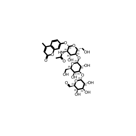 CC(=O)N[C@H]1[C@H](Oc2ccc3c(C)cc(=O)oc3c2)O[C@H](CO)[C@@H](O[C@@H]2O[C@H](CO)[C@H](O)[C@H](O[C@H]3O[C@H](C=O)[C@H](O)[C@H](O)[C@H]3O)[C@H]2O)[C@@H]1O